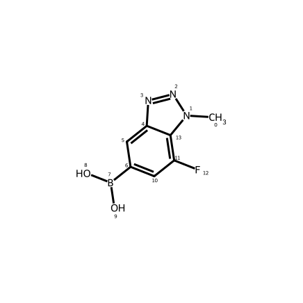 Cn1nnc2cc(B(O)O)cc(F)c21